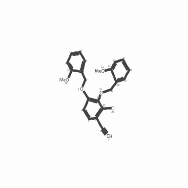 C#Cc1ccc(OCc2ccccc2OC)c(OCc2ccccc2OC)c1Cl